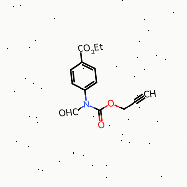 C#CCOC(=O)N(C=O)c1ccc(C(=O)OCC)cc1